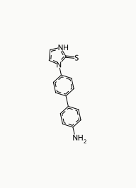 Nc1ccc(-c2ccc(-n3cc[nH]c3=S)cc2)cc1